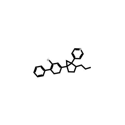 CCCC1CCC2(C3=CC(Cl)=C(c4ccccc4)CC3)CC12c1ccncc1